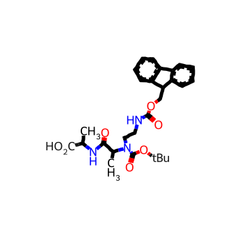 CC(NC(=O)C(C)N(CCNC(=O)OCC1c2ccccc2-c2ccccc21)C(=O)OC(C)(C)C)C(=O)O